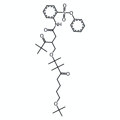 CC(C)(C)OCCCCC(=O)C(C)(C)C(C)(C)OCC(CC(=O)Nc1ccccc1S(=O)(=O)Oc1ccccc1)C(=O)C(C)(C)C